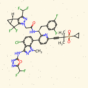 Cn1nc(Nc2nnc(C(F)F)o2)c2c(Cl)ccc(-c3ccc(C#CC(C)(C)S(=O)(=O)C4CC4)nc3[C@H](Cc3cc(F)cc(F)c3)NC(=O)Cn3nc(C(F)F)c4c3C(F)(F)C3C[C@H]43)c21